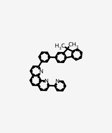 CC1(C)c2ccccc2-c2ccc(-c3cccc(-c4ccc5ccc6ccc(-c7ccccn7)nc6c5n4)c3)cc21